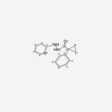 O=C(NNc1ccccn1)C1(c2ccccc2)CC1